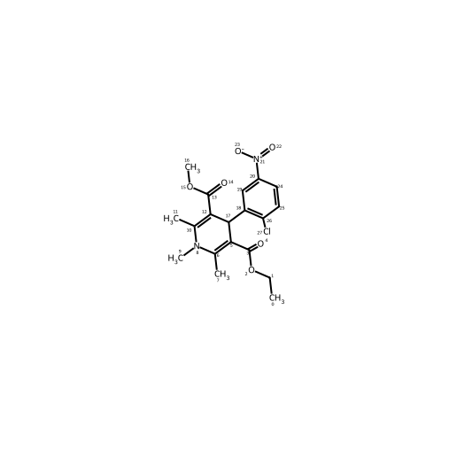 CCOC(=O)C1=C(C)N(C)C(C)=C(C(=O)OC)C1c1cc([N+](=O)[O-])ccc1Cl